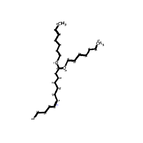 CCCCCCCOC(CCCCC/C=C\CCCI)OCCCCCCC